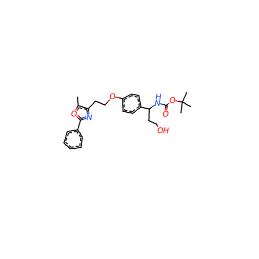 Cc1oc(-c2ccccc2)nc1CCOc1ccc(C(CCO)NC(=O)OC(C)(C)C)cc1